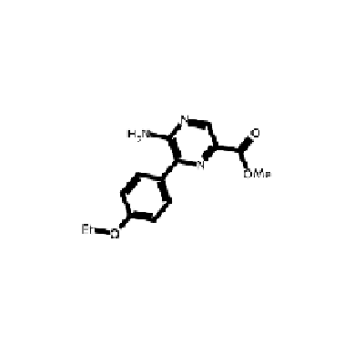 CCOc1ccc(-c2nc(C(=O)OC)cnc2N)cc1